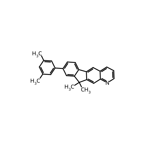 Cc1cc(C)cc(-c2ccc3c(c2)C(C)(C)c2cc4ncccc4cc2-3)c1